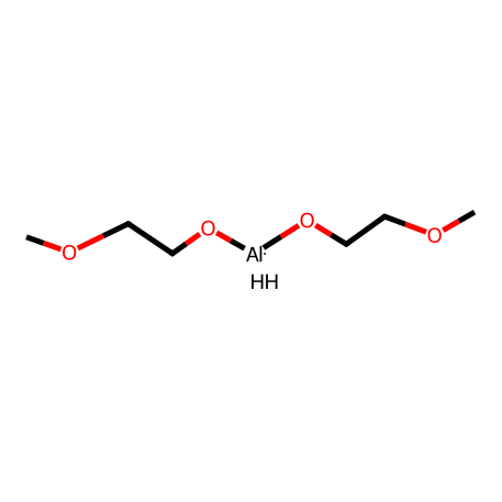 COCC[O][Al][O]CCOC.[HH]